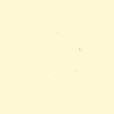 CSC(C)C(C(=O)O)C(=O)OC(C)(C)C